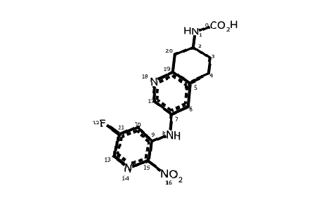 O=C(O)NC1CCc2cc(Nc3cc(F)cnc3[N+](=O)[O-])cnc2C1